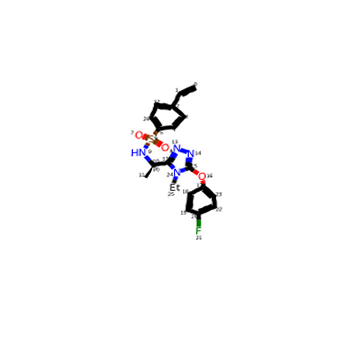 C=Cc1ccc(S(=O)(=O)N[C@H](C)c2nnc(Oc3ccc(F)cc3)n2CC)cc1